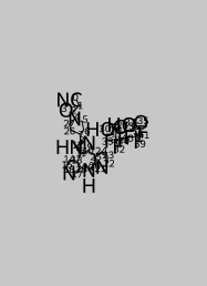 N#CCC(=O)N1CCC(c2nc3c([nH]2)-c2ccncc2Nc2ncccc2-3)CC1.O=C(O)C(F)(F)F.O=C(O)C(F)(F)F